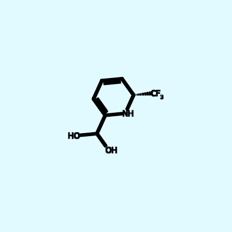 OC(O)C1=CC=C[C@H](C(F)(F)F)N1